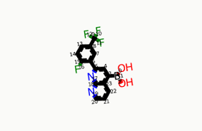 OB(O)c1cc(-c2cc(C(F)(F)F)ccc2F)nc2ncccc12